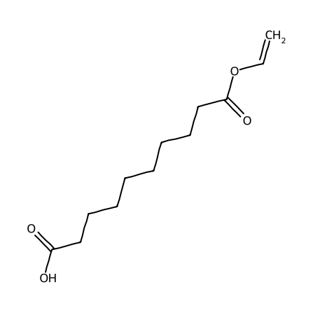 C=COC(=O)CCCCCCCCC(=O)O